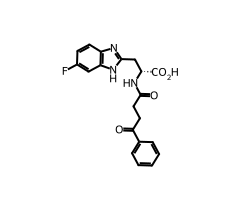 O=C(CCC(=O)c1ccccc1)N[C@H](Cc1nc2ccc(F)cc2[nH]1)C(=O)O